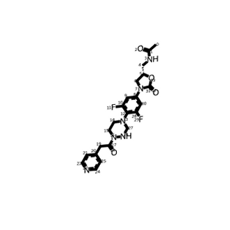 CC(=O)NC[C@H]1CN(c2cc(F)c(N3CCN(C(=O)Cc4ccncc4)NC3)c(F)c2)C(=O)O1